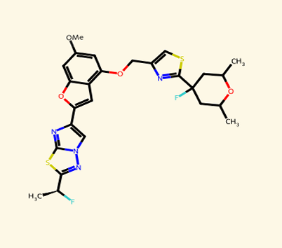 COc1cc(OCc2csc(C3(F)CC(C)OC(C)C3)n2)c2cc(-c3cn4nc([C@H](C)F)sc4n3)oc2c1